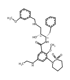 CCNc1cc(C(=O)N[C@@H](Cc2ccccc2)[C@H](O)CNCc2cccc(OC)c2)c(OC)c(N2CCCCS2(=O)=O)c1